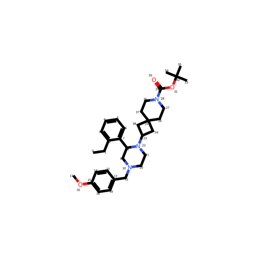 CCc1ccccc1C1CN(Cc2ccc(OC)cc2)CCN1C1CC2(CCN(C(=O)OC(C)(C)C)CC2)C1